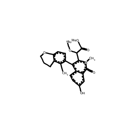 COC(=O)C(OC(C)(C)C)c1c(-c2ccc3c(c2C)CCCO3)c2ccc(O)cc2c(=O)n1C